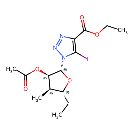 CCOC(=O)c1nnn([C@@H]2O[C@H](CC)[C@@H](C)[C@H]2OC(C)=O)c1I